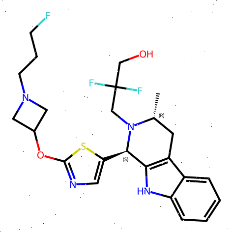 C[C@@H]1Cc2c([nH]c3ccccc23)[C@@H](c2cnc(OC3CN(CCCF)C3)s2)N1CC(F)(F)CO